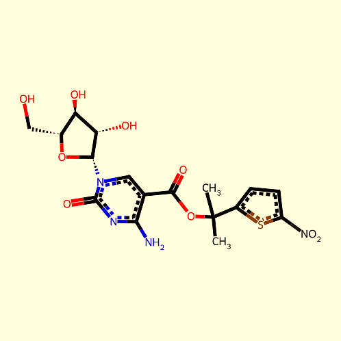 CC(C)(OC(=O)c1cn([C@@H]2O[C@H](CO)[C@@H](O)[C@@H]2O)c(=O)nc1N)c1ccc([N+](=O)[O-])s1